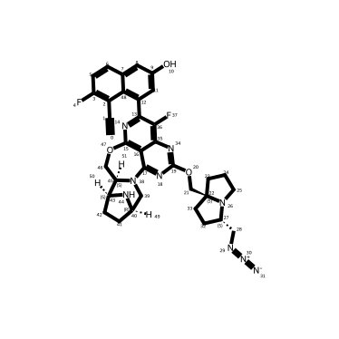 C#Cc1c(F)ccc2cc(O)cc(-c3nc4c5c(nc(OC[C@@]67CCCN6[C@H](CN=[N+]=[N-])CC7)nc5c3F)N3C[C@H]5CC[C@H](N5)[C@H]3CO4)c12